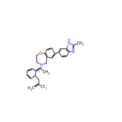 C=C(CC1C=CC=C/C1=C(/C)N1CCOc2ccc(-c3ccc4nc(C)[nH]c4c3)cc2C1)C(F)(F)F